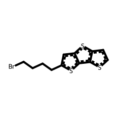 BrCCCCc1cc2sc3ccsc3c2s1